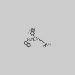 C[C@@H](NCC1CCN(CCCCCC(=O)O)CC1c1cccc(F)c1)c1cccc2ccccc12.Cl.Cl